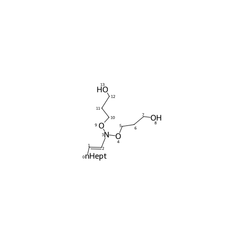 CCCCCCCC=CN(OCCCO)OCCCO